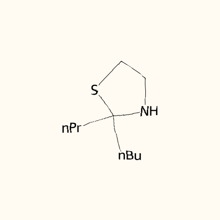 CCCCC1(CCC)NCCS1